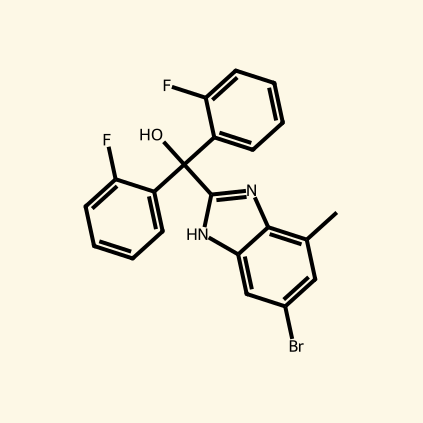 Cc1cc(Br)cc2[nH]c(C(O)(c3ccccc3F)c3ccccc3F)nc12